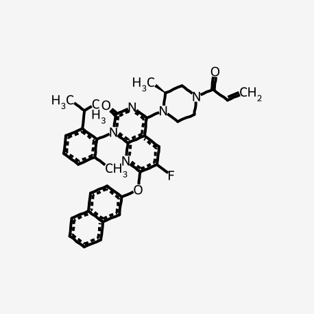 C=CC(=O)N1CCN(c2nc(=O)n(-c3c(C)cccc3C(C)C)c3nc(Oc4ccc5ccccc5c4)c(F)cc23)[C@@H](C)C1